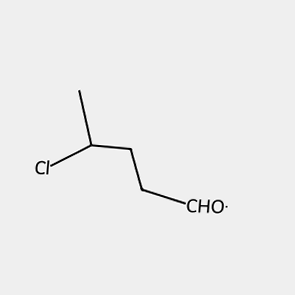 CC(Cl)CC[C]=O